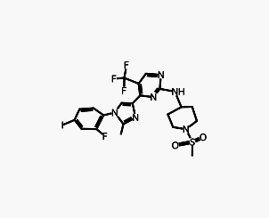 Cc1nc(-c2nc(NC3CCN(S(C)(=O)=O)CC3)ncc2C(F)(F)F)cn1-c1ccc(I)cc1F